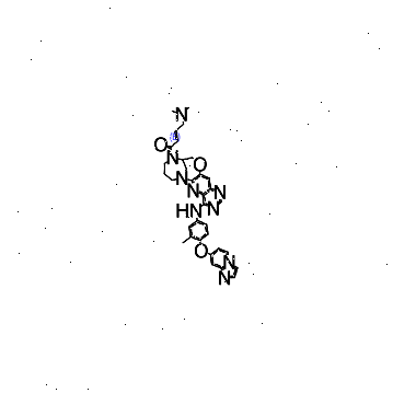 Cc1cc(Nc2ncnc3cc4c(nc23)N2CCCN(C(=O)/C=C/CN(C)C)C(CO4)C2)ccc1Oc1ccn2ccnc2c1